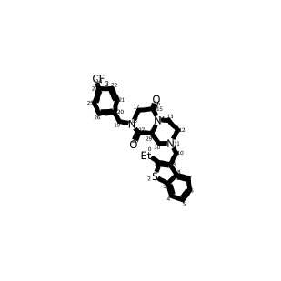 CCc1sc2ccccc2c1CN1CCN2C(=O)CN(Cc3ccc(C(F)(F)F)cc3)C(=O)C2C1